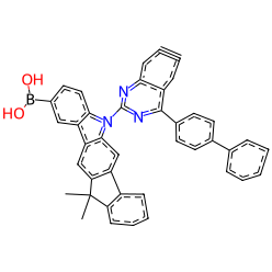 CC1(C)c2ccccc2-c2cc3c(cc21)c1cc(B(O)O)ccc1n3-c1nc(-c2ccc(-c3ccccc3)cc2)c2cc#ccc2n1